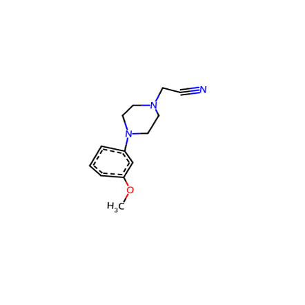 COc1cccc(N2CCN(CC#N)CC2)c1